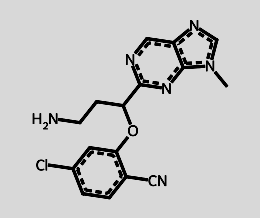 Cn1cnc2cnc(C(CCN)Oc3cc(Cl)ccc3C#N)nc21